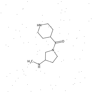 CNC1CCN(C(=O)C2CCNCC2)C1